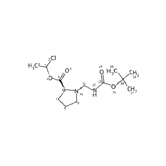 CC(Cl)OC(=O)[C@@H]1CCCN1CNC(=O)OC(C)(C)C